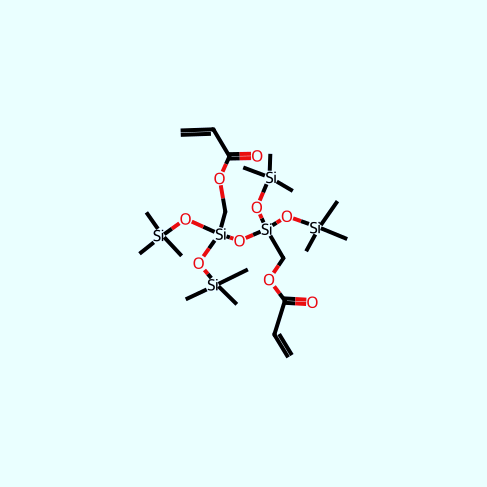 C=CC(=O)OC[Si](O[Si](C)(C)C)(O[Si](C)(C)C)O[Si](COC(=O)C=C)(O[Si](C)(C)C)O[Si](C)(C)C